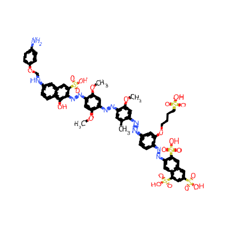 COc1cc(N=Nc2ccc(N=Nc3cc4c(S(=O)(=O)O)cc(S(=O)(=O)O)cc4cc3S(=O)(=O)O)c(OCCCCS(=O)(=O)O)c2)c(C)cc1N=Nc1cc(OC)c(N=Nc2c(S(=O)(=O)O)cc3cc(NCOc4ccc(N)cc4)ccc3c2O)cc1OC